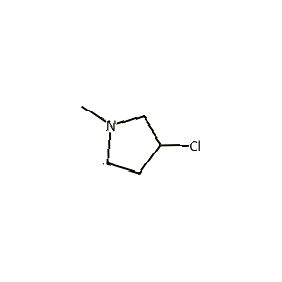 CN1[CH]CC(Cl)C1